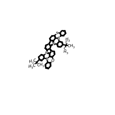 CC(C)(C)c1ccc2c(c1)B1c3ccccc3Oc3ccc4c5c(ccc6c7ccc8c9c7n(c65)-c5ccc(C(C)(C)C)cc5B9c5ccccc5S8)n-2c4c31